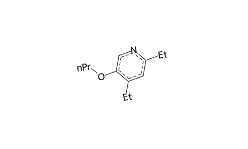 CCCOc1cnc(CC)cc1CC